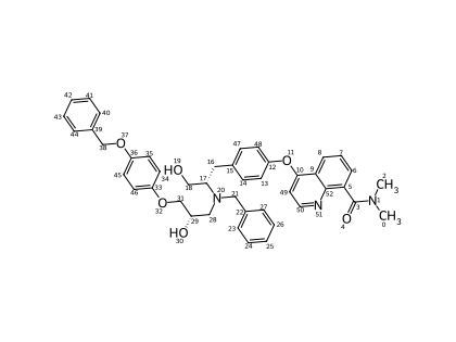 CN(C)C(=O)c1cccc2c(Oc3ccc(C[C@@H](CO)N(Cc4ccccc4)C[C@H](O)COc4ccc(OCc5ccccc5)cc4)cc3)ccnc12